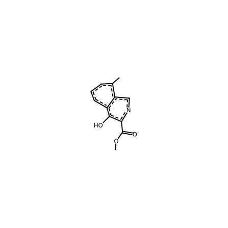 COC(=O)c1ncc2c(C)cccc2c1O